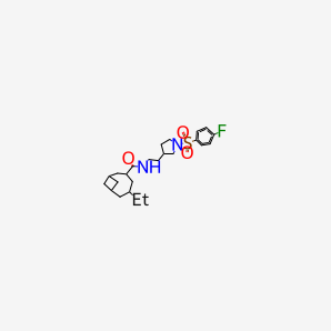 CCC1CC2CC(C2)CC(C(=O)NCCC2CCN(S(=O)(=O)c3ccc(F)cc3)C2)C1